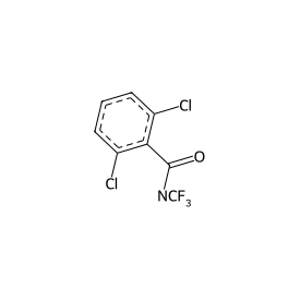 O=C(NC(F)(F)F)c1c(Cl)cccc1Cl